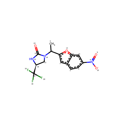 CC(c1cc2ccc([N+](=O)[O-])cc2o1)N1C[C@@H](C(F)(F)F)NC1=O